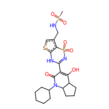 CS(=O)(=O)NCc1csc2c1S(=O)(=O)N=C(C1=C(O)C3CCCC3N(C3CCCCC3)C1=O)N2